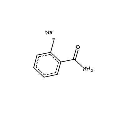 NC(=O)c1ccccc1F.[Na]